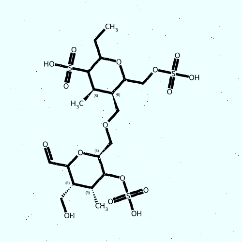 CCC1OC(COS(=O)(=O)O)[C@@H](COC[C@@H]2OC(C=O)[C@@H](CO)[C@@H](C)C2OS(=O)(=O)O)[C@@H](C)C1S(=O)(=O)O